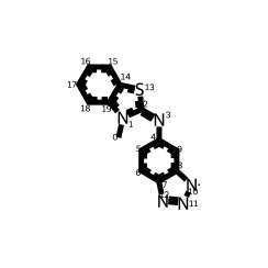 Cn1c(=Nc2ccc3c(c2)[N]N=N3)sc2ccccc21